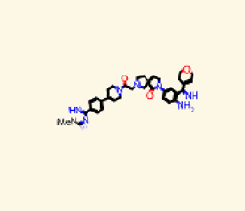 CN/C=N\C(=N)c1ccc(C2=CCN(C(=O)CN3CC[C@]4(CCN(c5ccc(N)c(C(=N)C6=CCOCC6)c5)C4=O)C3)CC2)cc1